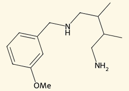 COc1cccc(CNCC(C)C(C)CN)c1